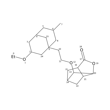 CCOC1CC2CC(C)CC(CCOC3C4CC5C(=O)OC3C5C4)(C2)C1